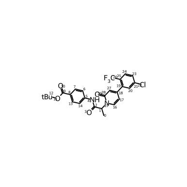 CC(C(=O)Nc1ccc(C(=O)OC(C)(C)C)cc1)n1ccc(-c2cc(Cl)ccc2C(F)(F)F)cc1=O